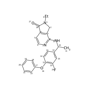 CCN1Cc2c(ccnc2NC(C)c2ccc(Oc3ccccc3)c(F)c2)C1=O